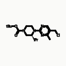 Cc1nc(N2CCN(C(=O)OC(C)(C)C)C[C@H]2C(C)C)ncc1CCl